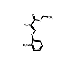 CCOC(=O)/C(C)=C/Oc1ccccc1C